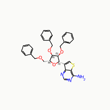 Nc1ncnc2c([C@@H]3O[C@H](COCc4ccccc4)[C@@H](OCc4ccccc4)[C@H]3OCc3ccccc3)csc12